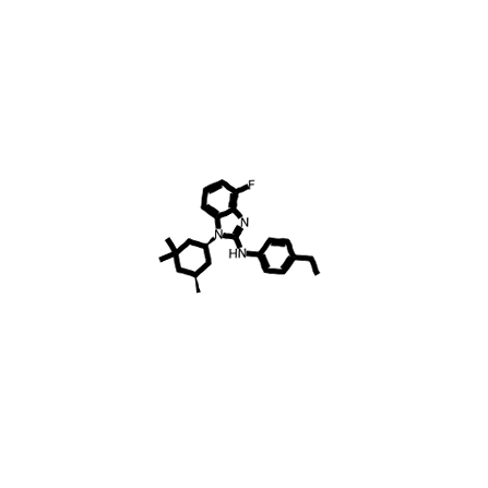 CCc1ccc(Nc2nc3c(F)cccc3n2[C@H]2C[C@@H](C)CC(C)(C)C2)cc1